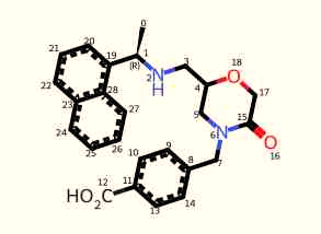 C[C@@H](NCC1CN(Cc2ccc(C(=O)O)cc2)C(=O)CO1)c1cccc2ccccc12